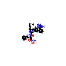 CCCCc1nc(C(=O)N[C@H](CCc2ccccc2)CC(=O)NO)cn1Cc1ccc(-c2ccccc2-c2nnn[nH]2)cc1